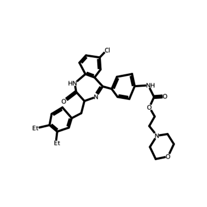 CCc1ccc(CC2N=C(c3ccc(NC(=O)OCCN4CCOCC4)cc3)c3cc(Cl)ccc3NC2=O)cc1CC